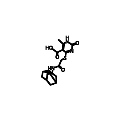 Cc1[nH]c(=O)nc(SCC(=O)NC23CC4CC(CC(C4)C2)C3)c1C(=O)O